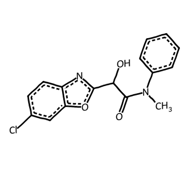 CN(C(=O)C(O)c1nc2ccc(Cl)cc2o1)c1ccccc1